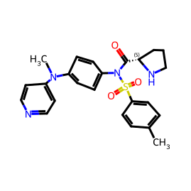 Cc1ccc(S(=O)(=O)N(C(=O)[C@@H]2CCCN2)c2ccc(N(C)c3ccncc3)cc2)cc1